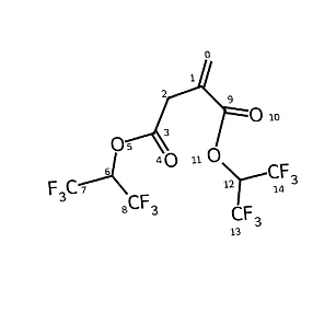 C=C(CC(=O)OC(C(F)(F)F)C(F)(F)F)C(=O)OC(C(F)(F)F)C(F)(F)F